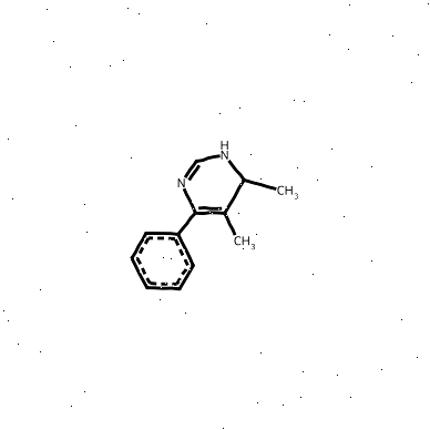 CC1=C(c2ccccc2)N=CNC1C